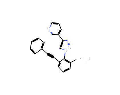 O=C(O)c1cccc(C#Cc2ccccc2)c1-n1cc(-c2cccnc2)nn1